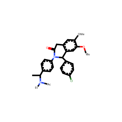 CCC(C)Oc1cc2c(cc1OC)CC(=O)N(c1ccc(C(C)N(CC)C(C)=O)cc1)C2c1ccc(Cl)cc1